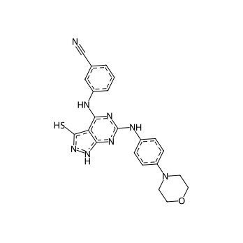 N#Cc1cccc(Nc2nc(Nc3ccc(N4CCOCC4)cc3)nc3[nH]nc(S)c23)c1